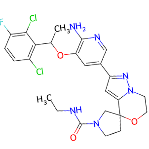 CCNC(=O)N1CCC2(C1)OCCn1nc(-c3cnc(N)c(OC(C)c4c(Cl)ccc(F)c4Cl)c3)cc12